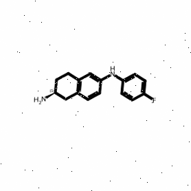 N[C@H]1CCc2cc(Nc3ccc(F)cc3)ccc2C1